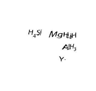 [AlH3].[LiH].[MgH2].[SiH4].[Y]